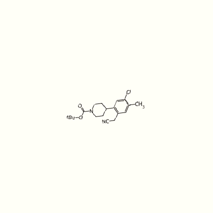 Cc1cc(CC#N)c(C2CCN(C(=O)OC(C)(C)C)CC2)cc1Cl